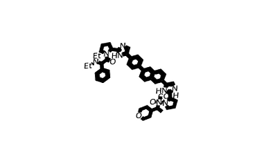 CCN(CC)C(C(=O)N1CCCC1c1ncc(-c2ccc(-c3ccc4cc(-c5cnc(C6CCCN6[N+]([O-])(C(=O)O)C(C)C6CCOCC6)[nH]5)ccc4c3)cc2)[nH]1)c1ccccc1